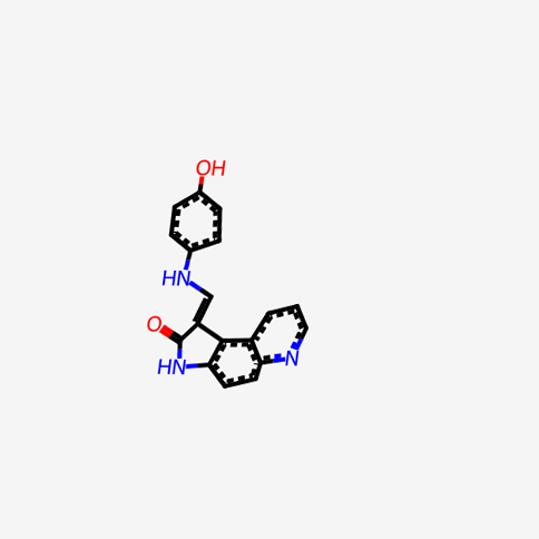 O=C1Nc2ccc3ncccc3c2/C1=C/Nc1ccc(O)cc1